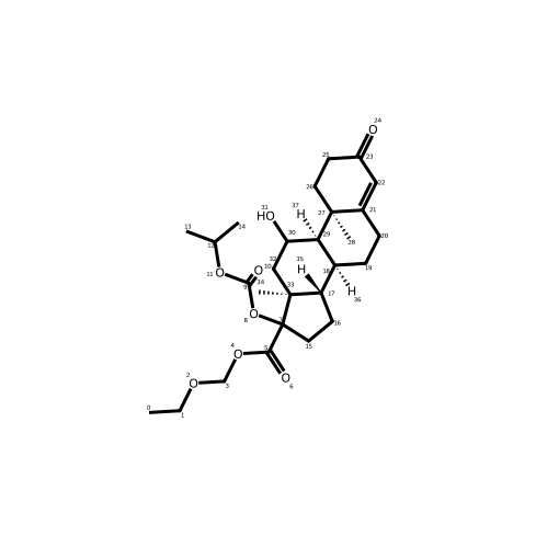 CCOCOC(=O)C1(OC(=O)OC(C)C)CC[C@H]2[C@@H]3CCC4=CC(=O)CC[C@]4(C)[C@@H]3C(O)C[C@@]21C